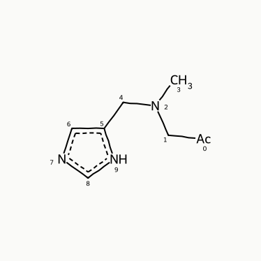 CC(=O)CN(C)Cc1cnc[nH]1